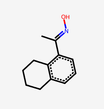 C/C(=N\O)c1cccc2c1CCCC2